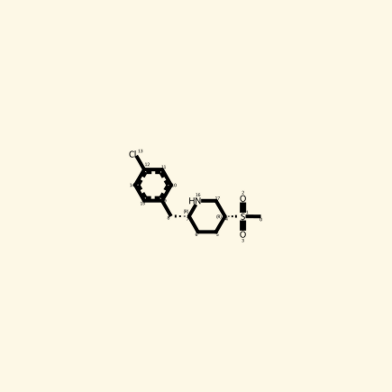 CS(=O)(=O)[C@@H]1CC[C@H](Cc2ccc(Cl)cc2)NC1